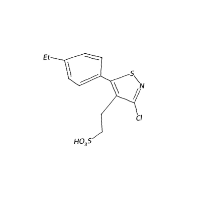 CCc1ccc(-c2snc(Cl)c2CCS(=O)(=O)O)cc1